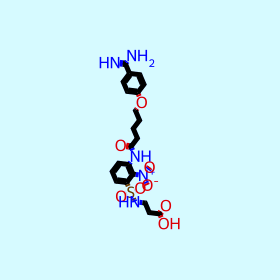 N=C(N)c1ccc(OCCCCC(=O)Nc2cccc(S(=O)(=O)NCCC(=O)O)c2[N+](=O)[O-])cc1